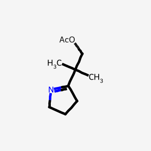 CC(=O)OCC(C)(C)C1=NCCC1